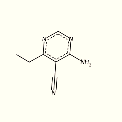 CCc1ncnc(N)c1C#N